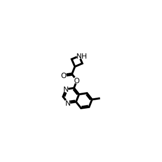 Cc1ccc2ncnc(OC(=O)C3CNC3)c2c1